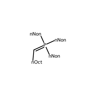 CCCCCCCCC=P(CCCCCCCCC)(CCCCCCCCC)CCCCCCCCC